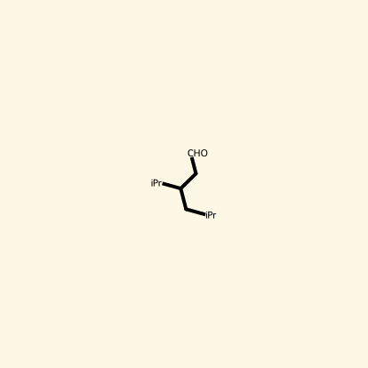 CC(C)CC(CC=O)C(C)C